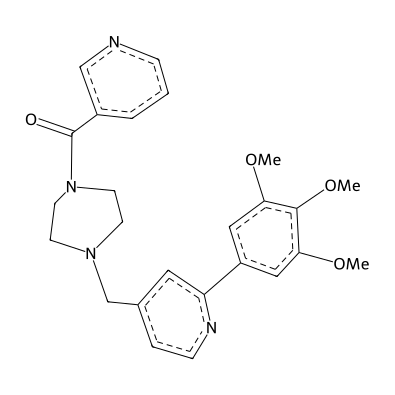 COc1cc(-c2cc(CN3CCN(C(=O)c4cccnc4)CC3)ccn2)cc(OC)c1OC